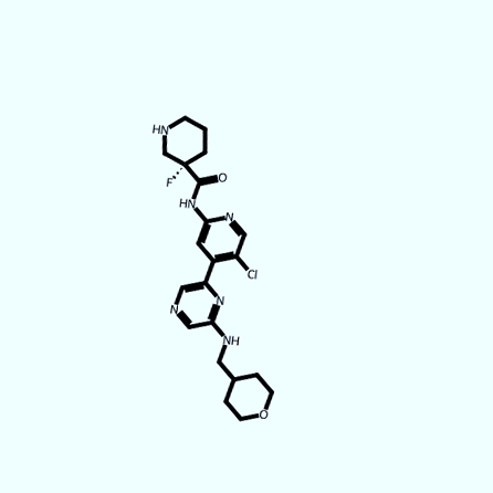 O=C(Nc1cc(-c2cncc(NCC3CCOCC3)n2)c(Cl)cn1)[C@]1(F)CCCNC1